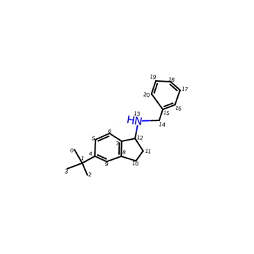 CC(C)(C)c1ccc2c(c1)CCC2NCc1ccccc1